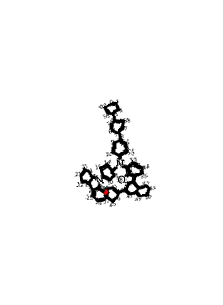 c1ccc(-c2ccc(-c3ccc(N(c4ccc(-n5c6ccccc6c6ccccc65)cc4)c4cccc5c4oc4c(-c6ccccc6)cc6ccccc6c45)cc3)cc2)cc1